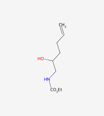 C=CCCC(O)CNC(=O)OCC